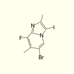 Cc1nc2c(F)c(C)c(Br)cn2c1I